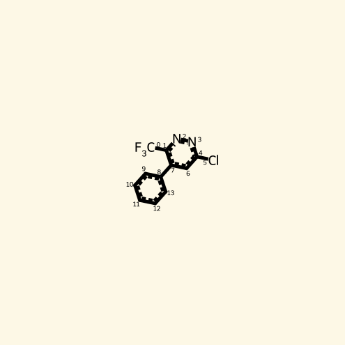 FC(F)(F)c1nnc(Cl)cc1-c1ccccc1